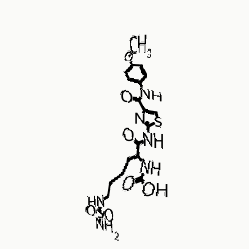 COc1ccc(NC(=O)c2csc(NC(=O)C(CCCCNS(N)(=O)=O)NC(=O)O)n2)cc1